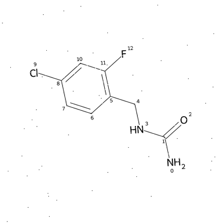 NC(=O)NCc1ccc(Cl)cc1F